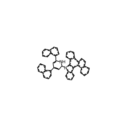 C1=C(c2cccc3ccccc23)C=C(c2cccc3ccccc23)NC1n1c2ccccc2c2c3c4ccccc4ccc3c3ccccc3c21